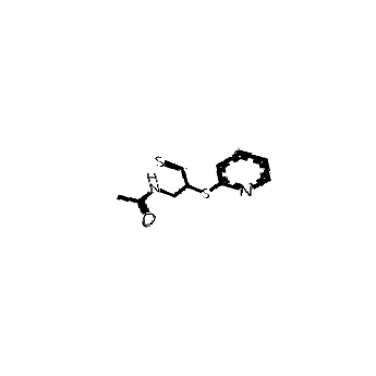 CC(=O)NCC([C]=S)Sc1ccccn1